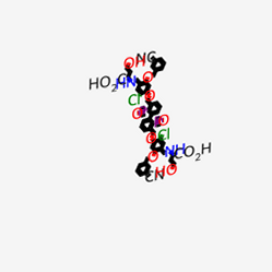 CP(C)(=O)c1c(COc2cc(OCc3cccc(C#N)c3)c(CNC(CCO)C(=O)O)cc2Cl)cccc1-c1cccc(COc2cc(OCc3cccc(C#N)c3)c(CNC(CCO)C(=O)O)cc2Cl)c1P(C)(C)=O